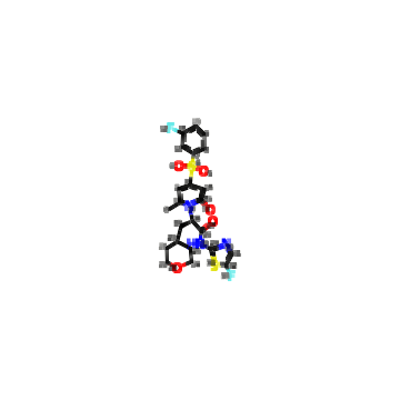 Cc1cc(S(=O)(=O)c2cccc(F)c2)cc(=O)n1[C@H](CC1CCOCC1)C(=O)Nc1ncc(F)s1